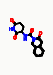 O=C1CCC(NC(=O)n2cc3ccccc3cc2=O)C(=O)N1